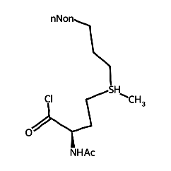 CCCCCCCCCCCC[SH](C)CC[C@@H](NC(C)=O)C(=O)Cl